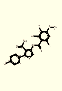 COc1cc(I)c(C(=O)Nc2csc(-c3ccc(Cl)cc3)c2C(=O)O)c(I)c1I